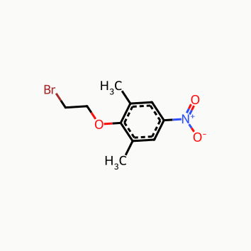 Cc1cc([N+](=O)[O-])cc(C)c1OCCBr